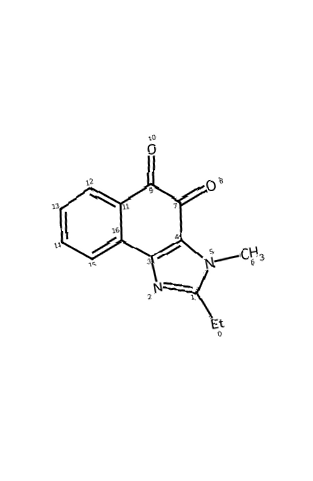 CCc1nc2c(n1C)C(=O)C(=O)c1ccccc1-2